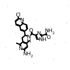 Cc1cc(N)nc(C)c1CC(NC(=O)c1c[nH]c(C(N)=O)n1)c1ccc2nc(Cl)ccc2c1